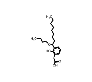 CCCCCCCCC(OCCCC)c1cccc(OC(=O)O)c1O